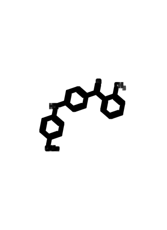 COc1ccc(Nc2ccc(C(=O)c3ccccc3C)cc2)cc1